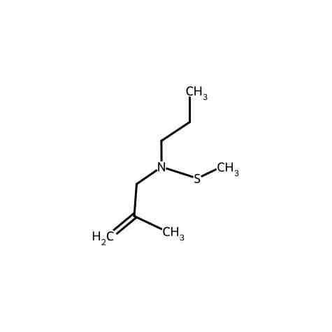 C=C(C)CN(CCC)SC